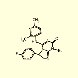 CCN1C(=O)N=C(Nc2ccc(C)nc2C)N2C1=NCC2c1ccc(F)cc1